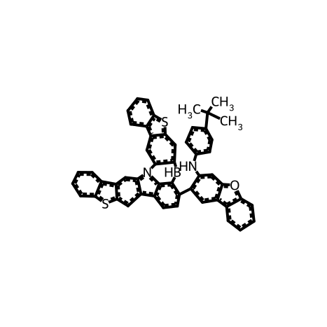 CC(C)(C)c1ccc(Nc2cc3oc4ccccc4c3cc2-c2ccc3c4cc5sc6ccccc6c5cc4n4c3c2Bc2cc3sc5ccccc5c3cc2-4)cc1